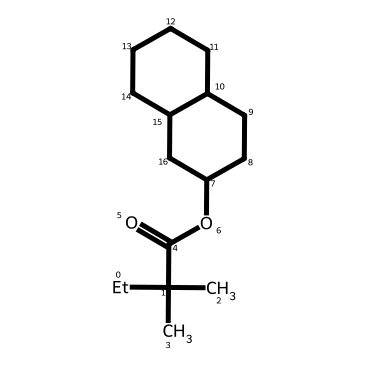 CCC(C)(C)C(=O)OC1CCC2CCCCC2C1